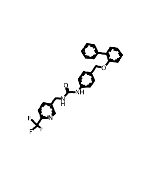 O=C(NCc1ccc(C(F)(F)F)nc1)Nc1ccc(COc2ccccc2-c2ccccc2)cc1